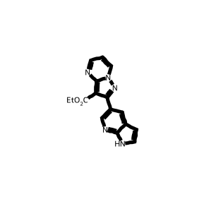 CCOC(=O)c1c(-c2cnc3[nH]ccc3c2)nn2cccnc12